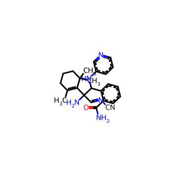 CC1=C(C(N)(C=NC#N)C(Nc2cccnc2)c2ccccc2C(N)=O)C(C)(C)CCC1